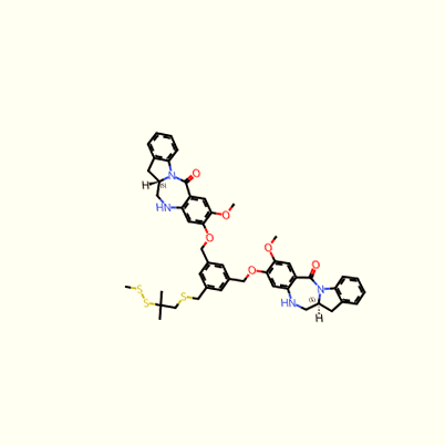 COc1cc2c(cc1OCc1cc(COc3cc4c(cc3OC)C(=O)N3c5ccccc5C[C@H]3CN4)cc(CSCC(C)(C)SSC)c1)NC[C@@H]1Cc3ccccc3N1C2=O